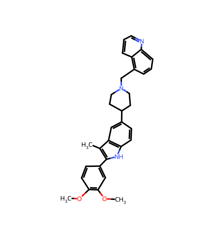 COc1ccc(-c2[nH]c3ccc(C4CCN(Cc5cccc6ncccc56)CC4)cc3c2C)cc1OC